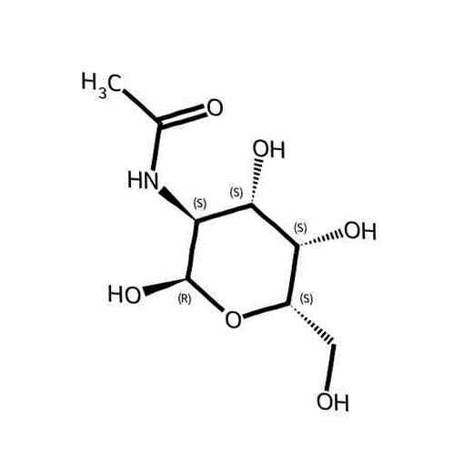 CC(=O)N[C@H]1[C@H](O)[C@H](O)[C@H](CO)O[C@H]1O